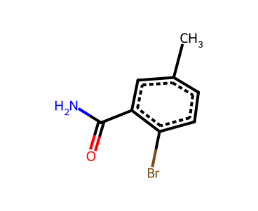 Cc1ccc(Br)c(C(N)=O)c1